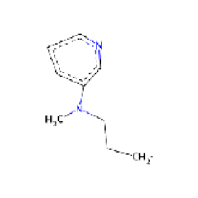 [CH2]CCN(C)c1cccnc1